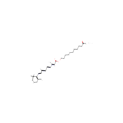 COC(=O)CCCCCCCCCCOC(=O)/C=C(C)/C=C/C=C(C)/C=C/C1=C(C)CCCC1(C)C